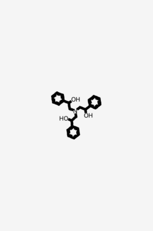 OC(CN(CC(O)c1ccccc1)CC(O)c1ccccc1)c1ccccc1